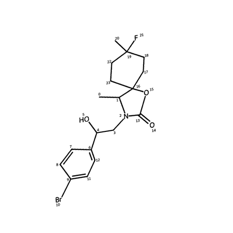 CC1N(CC(O)c2ccc(Br)cc2)C(=O)OC12CCC(C)(F)CC2